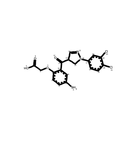 Bc1ccc(OCC(=O)O)c(C(=O)C2C=NN(c3ccc(Cl)c(Cl)c3)C2)c1